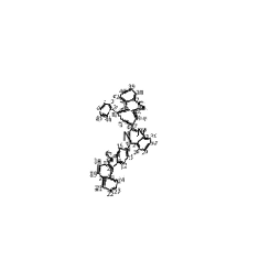 c1ccc(-c2cc(-c3nc(-c4ccc5c(c4)sc4ccc6ccccc6c45)c4ccccc4n3)cc3sc4ccccc4c23)cc1